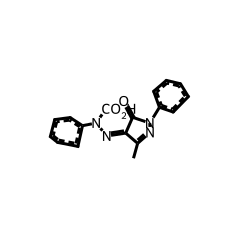 CC1=NN(c2ccccc2)C(=O)C1=NN(C(=O)O)c1ccccc1